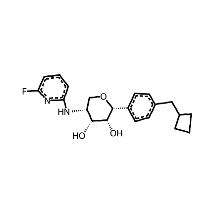 O[C@@H]1[C@H](O)[C@H](Nc2cccc(F)n2)CO[C@@H]1c1ccc(CC2CCC2)cc1